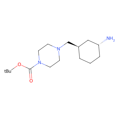 CC(C)(C)OC(=O)N1CCN(C[C@@H]2CCC[C@@H](N)C2)CC1